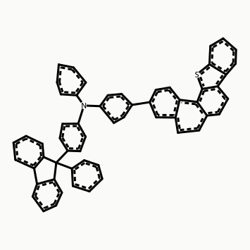 c1ccc(N(c2ccc(-c3ccc4c(ccc5ccc6c7ccccc7sc6c54)c3)cc2)c2ccc(C3(c4ccccc4)c4ccccc4-c4ccccc43)cc2)cc1